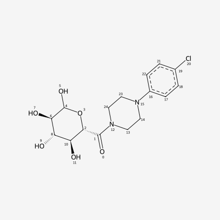 O=C([C@H]1OC(O)[C@H](O)[C@@H](O)[C@@H]1O)N1CCN(c2ccc(Cl)cc2)CC1